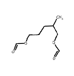 CC(CCCOC=O)COC=O